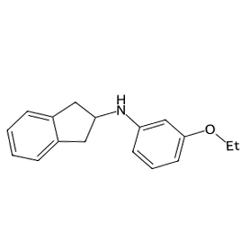 CCOc1cccc(NC2Cc3ccccc3C2)c1